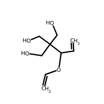 C=COC(C=C)C(CO)(CO)CO